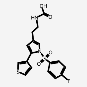 O=C(O)NCCc1cc(-c2ccsc2)n(S(=O)(=O)c2ccc(F)cc2)c1